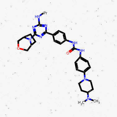 CC(C)Nc1nc(-c2ccc(NC(=O)Nc3ccc(N4CCC(N(C)C)CC4)cc3)cc2)nc(N2C3CCC2COC3)n1